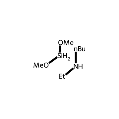 CCCCNCC.CO[SiH2]OC